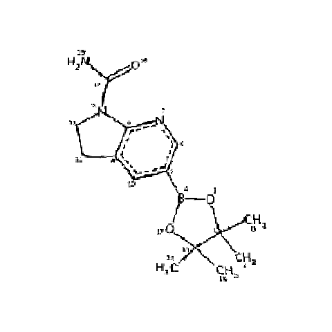 CC1(C)OB(c2cnc3c(c2)CCN3C(N)=O)OC1(C)C